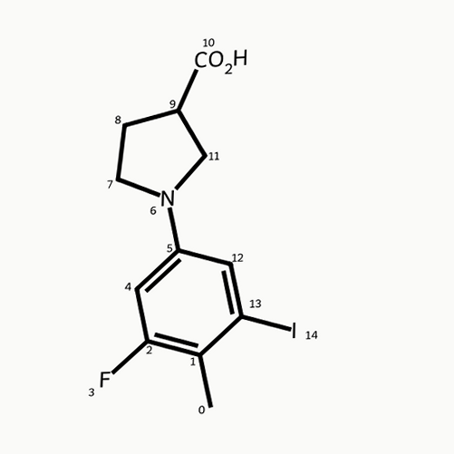 Cc1c(F)cc(N2CCC(C(=O)O)C2)cc1I